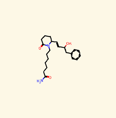 NC(=O)CCCCCCN1C(=O)CCCC1C=CC(O)Cc1ccccc1